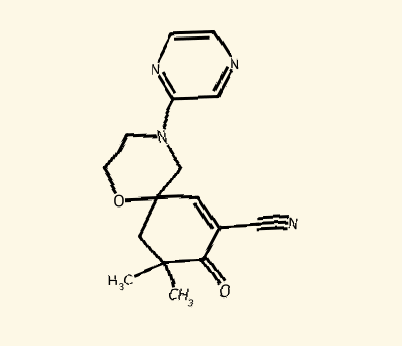 CC1(C)CC2(C=C(C#N)C1=O)CN(c1cnccn1)CCO2